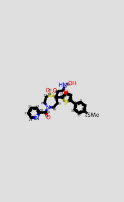 CSc1ccc(-c2ccc(C3(CC(=O)NO)CCN(C(=O)c4ccccn4)CCS3(=O)=O)s2)cc1